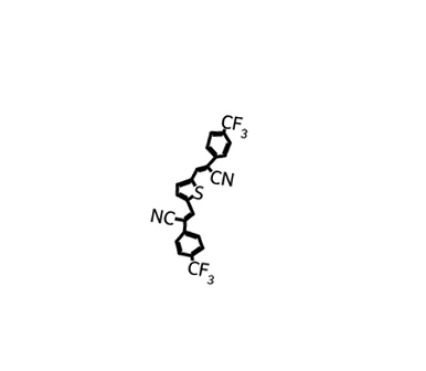 N#C/C(=C\c1ccc(/C=C(\C#N)c2ccc(C(F)(F)F)cc2)s1)c1ccc(C(F)(F)F)cc1